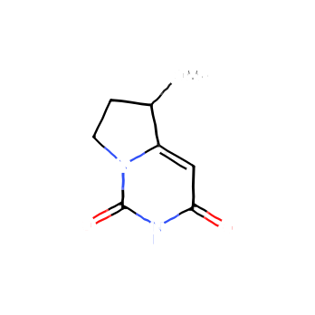 COC1CCn2c1cc(=O)[nH]c2=O